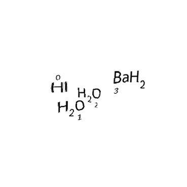 I.O.O.[BaH2]